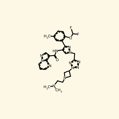 Cc1ccc(OC(F)F)c(-c2nn(Cc3nnn(C4CN(CCN(C)C)C4)n3)cc2NC(=O)c2cnn3cccnc23)c1